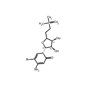 C=P(C)(C)CCC1O[C@@H](n2cc(Br)c(N)cc2=O)[C@H](O)[C@@H]1O